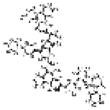 C=C/C=C\c1c(C)c2ccc(-c3cccc4c3sc3c(-c5ccc(-c6ccccc6)cc5)cc(-c5ccc6c(c5)c5ccccc5c5cnc(-c7cccc(-c8cccc9c8sc8c(-c%10ccccc%10)cccc89)c7)cc65)cc34)cc2c2ccccc12